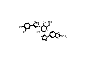 Cc1nc2ccc(-n3ncnc3[C@@H]3O[C@H](CO)[C@H](O)[C@H](n4cc(-c5ccc(Cl)c(Cl)c5)nn4)[C@H]3O)cc2s1